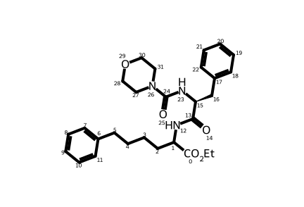 CCOC(=O)C(CCCCc1ccccc1)NC(=O)[C@H](Cc1ccccc1)NC(=O)N1CCOCC1